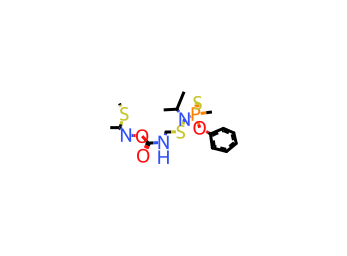 CSC(C)=NOC(=O)NCSN(C(C)C)P(C)(=S)Oc1ccccc1